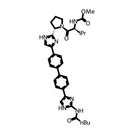 CCCCC(=O)Nc1nc(-c2ccc(-c3ccc(-c4c[nH]c([C@@H]5CCCN5C(=O)[C@@H](NC(=O)OC)C(C)C)n4)cc3)cc2)c[nH]1